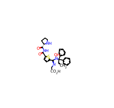 C=CC(c1ccccc1)(c1ccccc1)N(O)C(=NCC(=O)O)c1ccc(C(=O)NC(=O)[C@@H]2CCCN2)s1